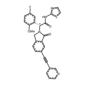 COc1ccc(F)cc1[C@H](C(=O)Nc1nccs1)N1Cc2ccc(C#Cc3cccnc3)cc2C1=O